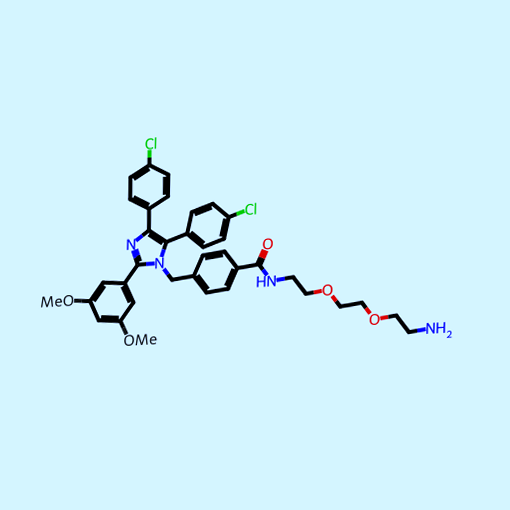 COc1cc(OC)cc(-c2nc(-c3ccc(Cl)cc3)c(-c3ccc(Cl)cc3)n2Cc2ccc(C(=O)NCCOCCOCCN)cc2)c1